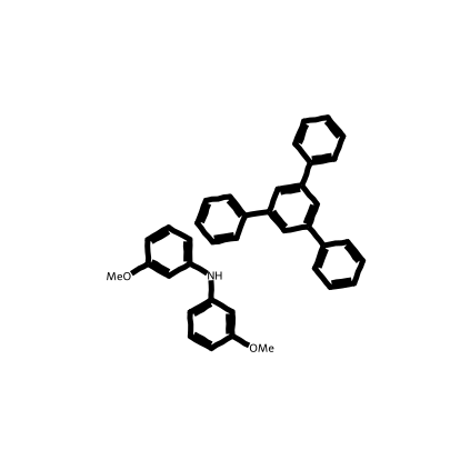 COc1cccc(Nc2cccc(OC)c2)c1.c1ccc(-c2cc(-c3ccccc3)cc(-c3ccccc3)c2)cc1